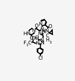 CC1(NC(=O)c2cccnc2-n2nc(Cn3nc(-c4ccc(Cl)cc4)n(CC(O)C(F)(F)F)c3=O)nc2C(=O)N2CCNC(=O)C2)CC1